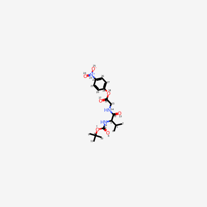 CC(C)C(NC(=O)OC(C)(C)C)C(=O)NCC(=O)Oc1ccc([N+](=O)[O-])cc1